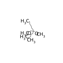 CCCCCCC(CCCC(C)C)(COC)COC